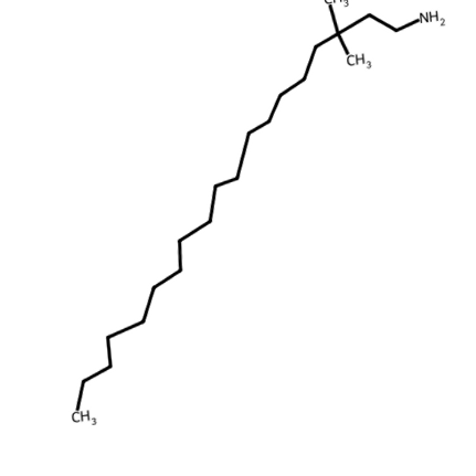 CCCCCCCCCCCCCCCCC(C)(C)CCN